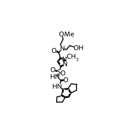 COCCN(CCO)C(=O)c1cc(S(=O)(=O)NC(=O)Nc2c3c(cc4c2CCC4)CCC3)nn1C